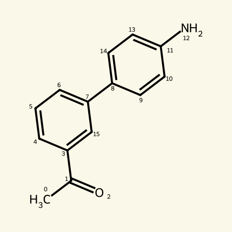 CC(=O)c1cccc(-c2ccc(N)cc2)c1